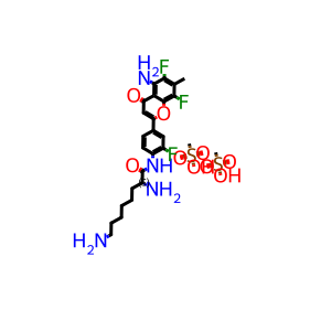 CS(=O)(=O)O.CS(=O)(=O)O.Cc1c(F)c(N)c2c(=O)cc(-c3ccc(NC(=O)[C@@H](N)CCCCCCN)c(F)c3)oc2c1F